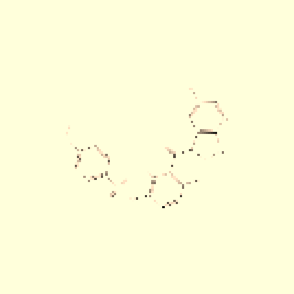 COc1ccc(S(=O)(=O)Nc2ccc(F)c(C(=O)C3CNc4ncc(Cl)cc43)c2F)cc1